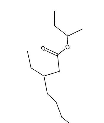 CCCCC(CC)CC(=O)OC(C)CC